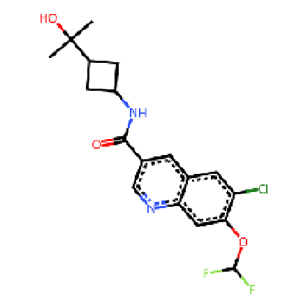 CC(C)(O)C1CC(NC(=O)c2cnc3cc(OC(F)F)c(Cl)cc3c2)C1